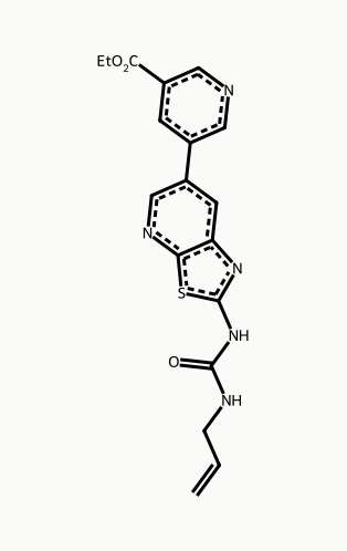 C=CCNC(=O)Nc1nc2cc(-c3cncc(C(=O)OCC)c3)cnc2s1